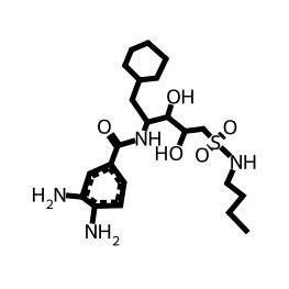 CCCCNS(=O)(=O)CC(O)C(O)C(CC1CCCCC1)NC(=O)c1ccc(N)c(N)c1